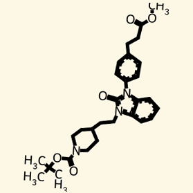 COC(=O)CCc1ccc(-n2c(=O)n(CCC3CCN(C(=O)OC(C)(C)C)CC3)c3ccccc32)cc1